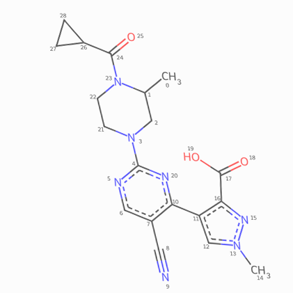 CC1CN(c2ncc(C#N)c(-c3cn(C)nc3C(=O)O)n2)CCN1C(=O)C1CC1